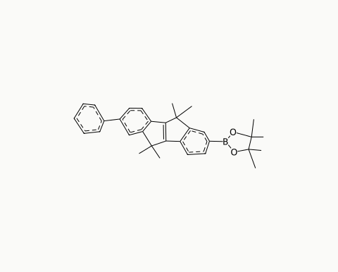 CC1(C)C2=C(c3ccc(B4OC(C)(C)C(C)(C)O4)cc31)C(C)(C)c1cc(-c3ccccc3)ccc12